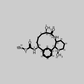 C[C@@H]1CCC[C@H](NC(=O)OC(C)(C)C)c2cccc(c2)C2C(CCCN2C)NC1=O